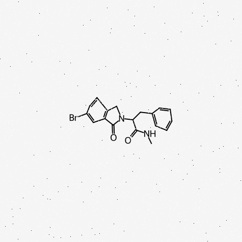 CNC(=O)C(Cc1ccccc1)N1Cc2ccc(Br)cc2C1=O